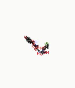 CC(=O)N[C@@H](COC(=O)CCC/C=C\C[C@@H]1[C@@H](/C=C/[C@@H](O)COc2cccc(C(F)(F)F)c2)[C@H](O)C[C@@H]1O)C(=O)OCC(=O)[C@@]12CC[C@H]3[C@@H]4CCC5=CC(=O)CC[C@]5(C)C4=CC[C@@]31O2